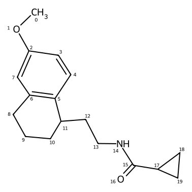 COc1ccc2c(c1)CCCC2CCNC(=O)C1CC1